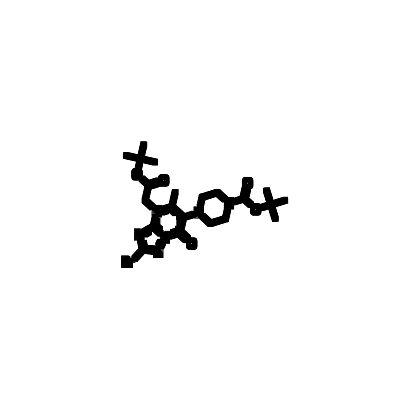 Cc1c(N2CCN(C(=O)OC(C)(C)C)CC2)c(=O)n2nc(Br)nc2n1CC(=O)OC(C)(C)C